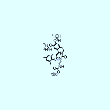 [2H]C([2H])([2H])Oc1cc2c(cc1OC([2H])([2H])[2H])-c1c/c(=N\c3c(C)cc(C)cc3C)n(CCNC(=O)OC(C)(C)C)c(=O)n1CC2